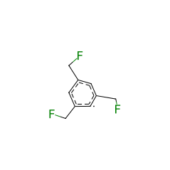 FCc1[c]c(CF)cc(CF)c1